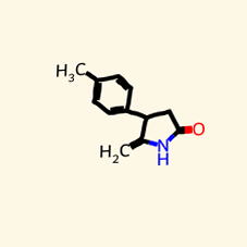 C=C1NC(=O)CC1c1ccc(C)cc1